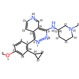 COc1ccc(-c2nnc(N[C@@H]3CCCN(C)C3)c3cnccc23)c(C2CC2)c1